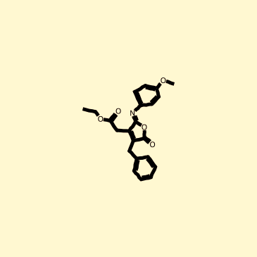 CCOC(=O)CC1=C(Cc2ccccc2)C(=O)O/C1=N\c1ccc(OC)cc1